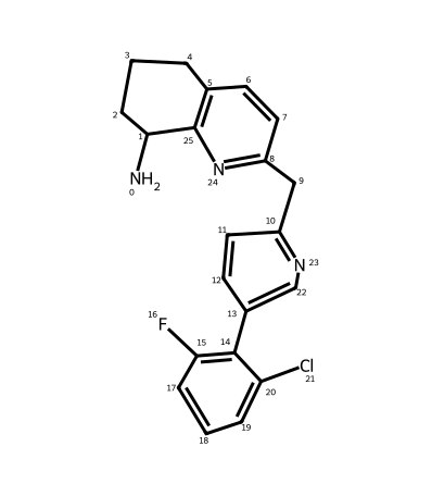 NC1CCCc2ccc(Cc3ccc(-c4c(F)cccc4Cl)cn3)nc21